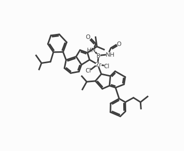 CC(C)Cc1ccccc1-c1cccc2c1C=C(C(C)C)[CH]2[Zr]([Cl])([Cl])([B](NC=O)NC=O)[CH]1C(C(C)C)=Cc2c(-c3ccccc3CC(C)C)cccc21